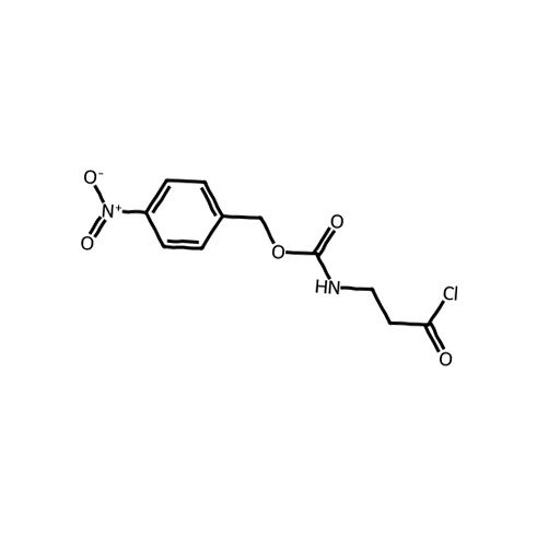 O=C(Cl)CCNC(=O)OCc1ccc([N+](=O)[O-])cc1